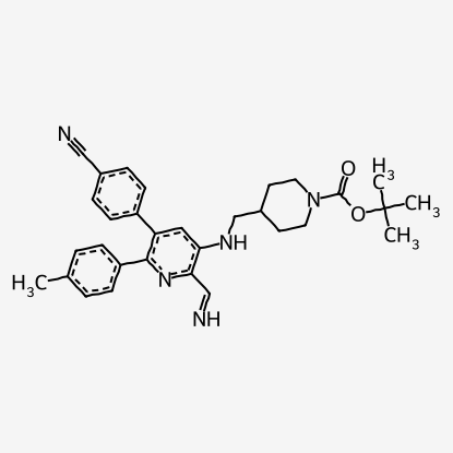 Cc1ccc(-c2nc(C=N)c(NCC3CCN(C(=O)OC(C)(C)C)CC3)cc2-c2ccc(C#N)cc2)cc1